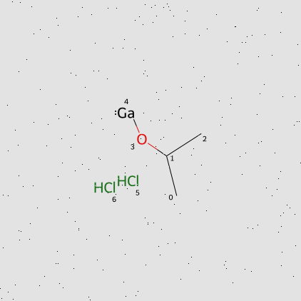 CC(C)[O][Ga].Cl.Cl